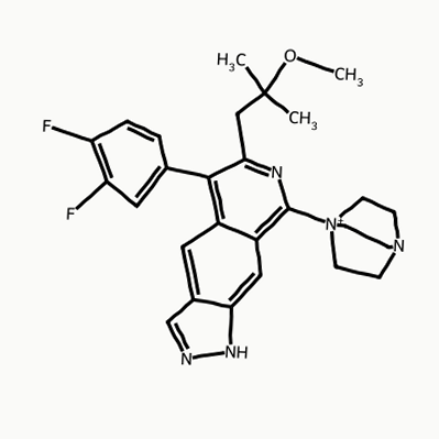 COC(C)(C)Cc1nc([N+]23CCN(CC2)CC3)c2cc3[nH]ncc3cc2c1-c1ccc(F)c(F)c1